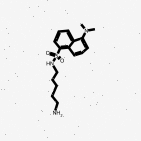 CN(C)c1cccc2c(S(=O)(=O)NCCCCCN)cccc12